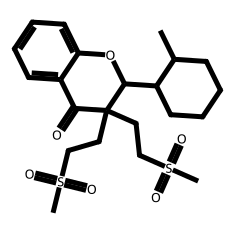 CC1CCCCC1C1Oc2ccccc2C(=O)C1(CCS(C)(=O)=O)CCS(C)(=O)=O